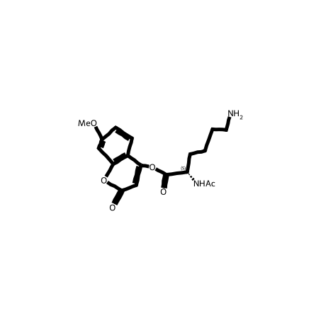 COc1ccc2c(OC(=O)[C@H](CCCCN)NC(C)=O)cc(=O)oc2c1